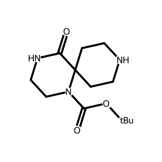 CC(C)(C)OC(=O)N1CCNC(=O)C12CCNCC2